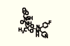 CC1(CNC(=O)N(S)CC2=COCO2)COC(c2nc(-c3ccc(F)cc3)c(-c3ccncc3)[nH]2)OC1